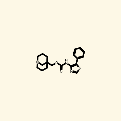 O=C(Nc1ncsc1-c1ccccc1)OCC12CCCN(CCC1)C2